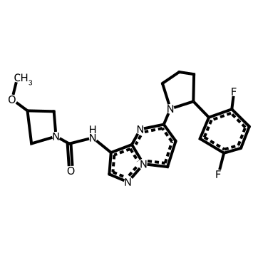 COC1CN(C(=O)Nc2cnn3ccc(N4CCCC4c4cc(F)ccc4F)nc23)C1